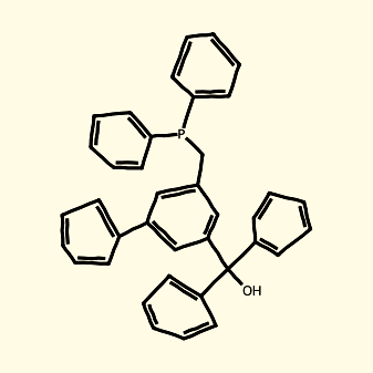 OC(c1ccccc1)(c1ccccc1)c1cc(CP(c2ccccc2)c2ccccc2)cc(-c2ccccc2)c1